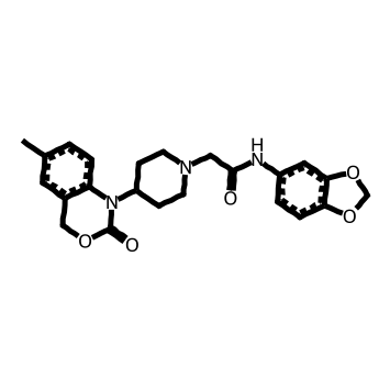 Cc1ccc2c(c1)COC(=O)N2C1CCN(CC(=O)Nc2ccc3c(c2)OCO3)CC1